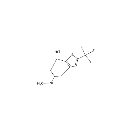 CNC1CCc2sc(C(F)(F)F)cc2C1.Cl